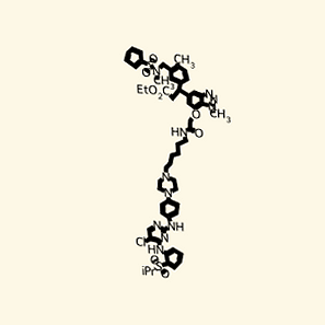 CCOC(=O)CC(c1ccc(C)c(CN(C)S(=O)(=O)c2ccccc2)c1)c1cc(OCC(=O)NCCCCCCN2CCN(c3ccc(Nc4ncc(Cl)c(Nc5ccccc5S(=O)(=O)C(C)C)n4)cc3)CC2)c2c(c1)nnn2C